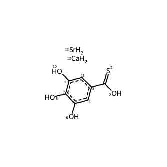 OC(=S)c1cc(O)c(O)c(O)c1.[CaH2].[SrH2]